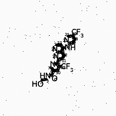 O=C(NCCO)c1cnc(-c2ccc3c(Nc4ccc(C(F)(F)F)cn4)ccnc3n2)c(C(F)(F)F)c1